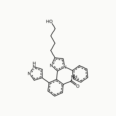 NC(=O)c1cccc(-c2cn[nH]c2)c1-c1nc(CCCCO)cn1-c1ccccc1